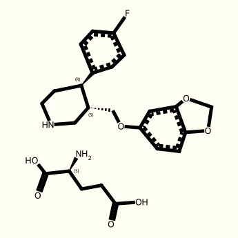 Fc1ccc([C@@H]2CCNC[C@H]2COc2ccc3c(c2)OCO3)cc1.N[C@@H](CCC(=O)O)C(=O)O